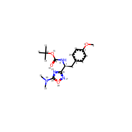 COc1ccc(C[C@H](NC(=O)OC(C)(C)C)c2noc(N(C)C)n2)cc1